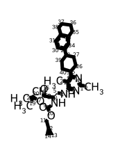 Cc1nc(NC[C@H](NC(=O)OCC2CC2)C(=O)OC(C)(C)C)c(C)c(C2CCC(c3ccc4c(c3)CCCC4)CC2)n1